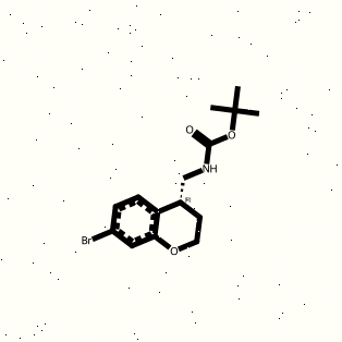 CC(C)(C)OC(=O)NC[C@@H]1CCOc2cc(Br)ccc21